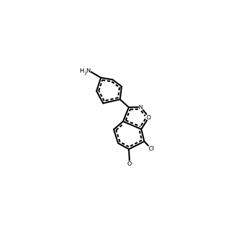 Nc1ccc(-c2noc3c(Cl)c([O])ccc23)cc1